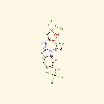 O=C(CC(O)(CF)CF)Nc1nc2ccc(OC(F)(F)F)cc2n1C1CCC1